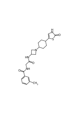 Cc1cccc(C(=O)NCC(=O)NC2CN(C3CCC(c4c[nH]c(=O)s4)CC3)C2)c1